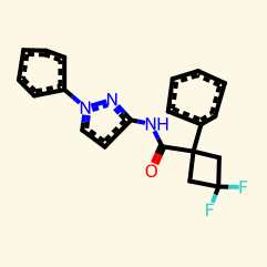 O=C(Nc1ccn(-c2ccccc2)n1)C1(c2ccccc2)CC(F)(F)C1